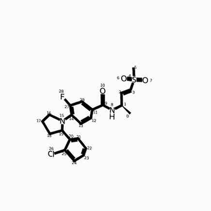 C[C@H](/C=C/S(C)(=O)=O)NC(=O)c1ccc(N2CCCC2c2ccccc2Cl)c(F)c1